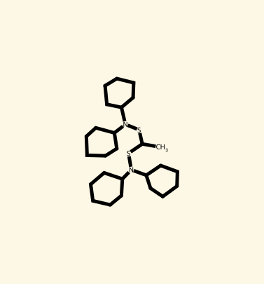 CC(SN(C1CCCCC1)C1CCCCC1)SN(C1CCCCC1)C1CCCCC1